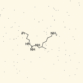 CC(C)CCCNC(=N)NCC(C)CCCCN